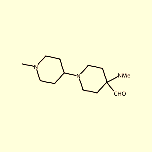 CNC1(C=O)CCN(C2CCN(C)CC2)CC1